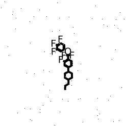 CCCC1CCC(c2ccc(C(F)(F)Oc3cc(F)c(F)c(F)c3)c(F)c2)CC1